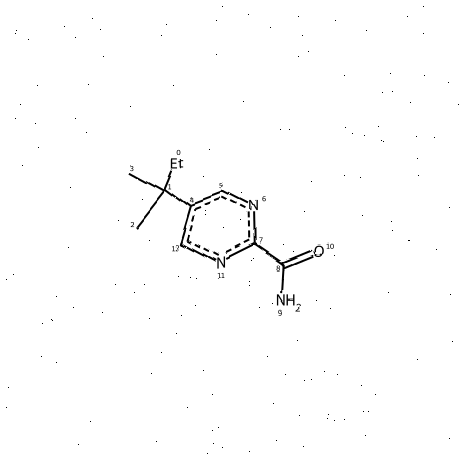 CCC(C)(C)c1cnc(C(N)=O)nc1